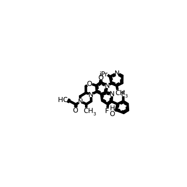 C#CC(=O)N1CC2COc3c(c4cc(F)c(-c5c(O)cccc5F)nc4n(-c4c(C)ccnc4C(C)C)c3=O)N2CC1C